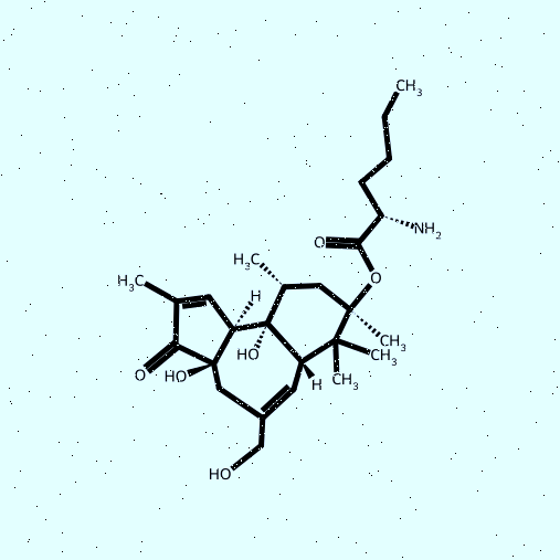 CCCC[C@H](N)C(=O)O[C@]1(C)C[C@@H](C)[C@@]2(O)[C@@H](C=C(CO)C[C@]3(O)C(=O)C(C)=C[C@@H]23)C1(C)C